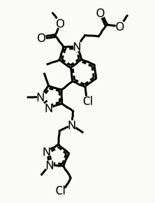 COC(=O)CCn1c(C(=O)OC)c(C)c2c(-c3c(CN(C)Cc4cc(CCl)n(C)n4)nn(C)c3C)c(Cl)ccc21